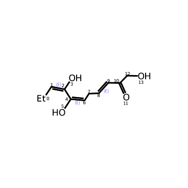 CC/C=C(O)\C(O)=C/C/C=C/C(=O)CO